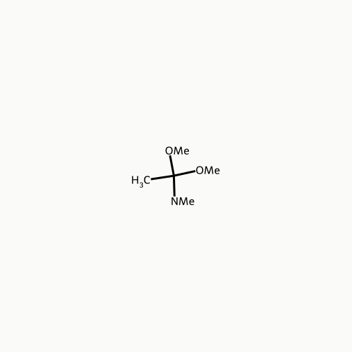 CNC(C)(OC)OC